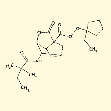 CCC1(OOC(=O)C23CC4CC2C(OC3=O)C4NC(=O)C(C)(C)CC)CCCC1